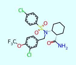 NC(=O)[C@H]1CCCC[C@H]1N(Cc1ccc(OC(F)(F)F)c(Cl)c1)S(=O)(=O)c1ccc(Cl)cc1